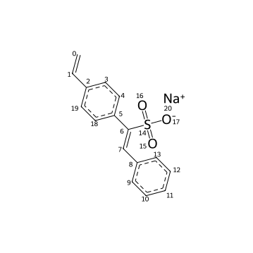 C=Cc1ccc(C(=Cc2ccccc2)S(=O)(=O)[O-])cc1.[Na+]